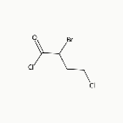 O=C(Cl)C(Br)CCCl